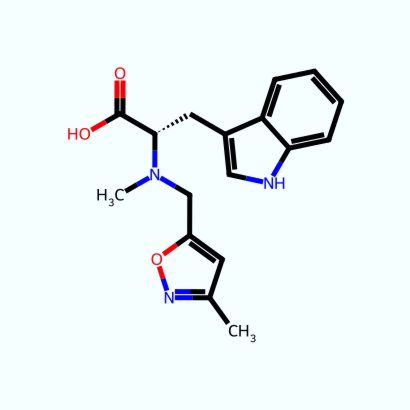 Cc1cc(CN(C)[C@@H](Cc2c[nH]c3ccccc23)C(=O)O)on1